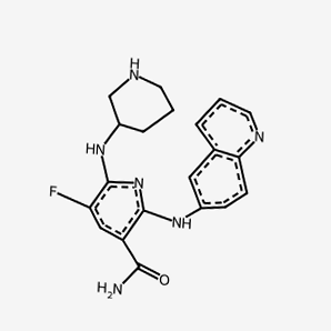 NC(=O)c1cc(F)c(NC2CCCNC2)nc1Nc1ccc2ncccc2c1